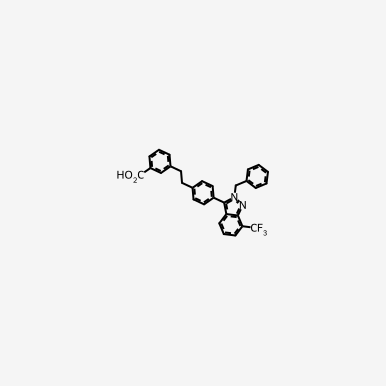 O=C(O)c1cccc(CCc2ccc(-c3c4cccc(C(F)(F)F)c4nn3Cc3ccccc3)cc2)c1